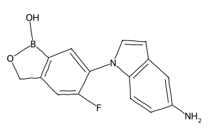 Nc1ccc2c(ccn2-c2cc3c(cc2F)COB3O)c1